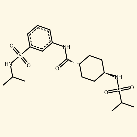 CC(C)NS(=O)(=O)c1cccc(NC(=O)[C@H]2CC[C@H](NS(=O)(=O)C(C)C)CC2)c1